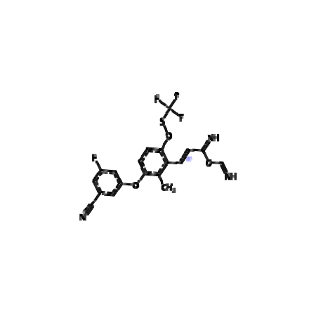 Cc1c(Oc2cc(F)cc(C#N)c2)ccc(OSC(F)(F)F)c1/C=C/C(=N)OC=N